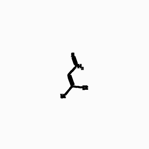 CCC(=C[PH2]=S)CC